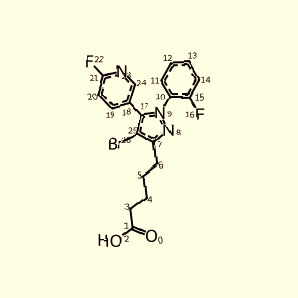 O=C(O)CCCCc1nn(-c2ccccc2F)c(-c2ccc(F)nc2)c1Br